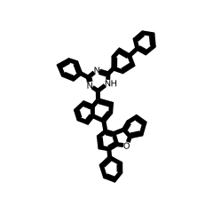 c1ccc(C2=NC(c3ccc(-c4ccc(-c5ccccc5)c5oc6ccccc6c45)c4ccccc34)NC(c3ccc(-c4ccccc4)cc3)=N2)cc1